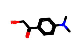 CN(C)c1ccc(C(=O)CO)cc1